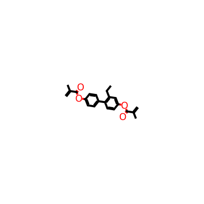 C=C(C)C(=O)Oc1ccc(-c2ccc(OC(=O)C(=C)C)cc2CC)cc1